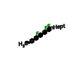 C/C=C/C1CCC(C2CC=C(c3ccc(-c4ccc(-c5ccc(CCCCCCC)c(F)c5F)cc4)cc3F)CC2)CC1